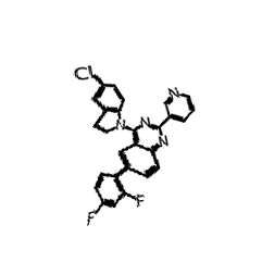 Fc1ccc(-c2ccc3nc(-c4cccnc4)nc(N4CCc5cc(Cl)ccc54)c3c2)c(F)c1